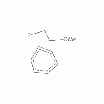 COCCF.c1ccccc1